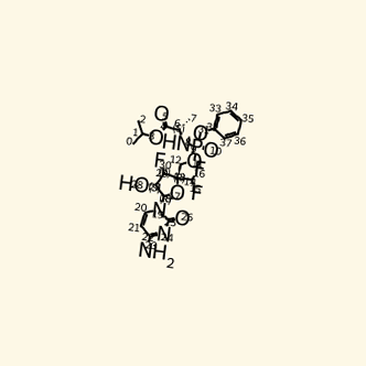 CC(C)OC(=O)[C@H](C)NP(=O)(OC[C@@]1(C(F)F)O[C@@H](n2ccc(N)nc2=O)[C@H](O)[C@H]1F)Oc1ccccc1